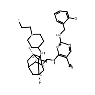 N#Cc1cnc(NCc2ccccc2Cl)nc1NC[C@]12CC3C[C@H](C1)[C@@H](NC1CCN(CCF)CC1)[C@@H](C3)C2